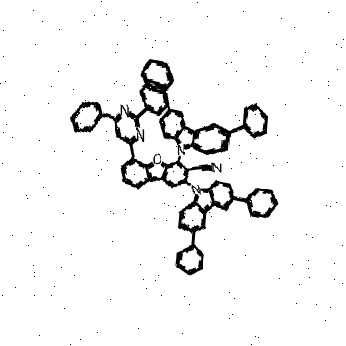 N#Cc1c(-n2c3ccc(-c4ccccc4)cc3c3cc(-c4ccccc4)ccc32)cc2c(oc3c(-c4cc(-c5ccccc5)nc(-c5ccccc5)n4)cccc32)c1-n1c2ccc(-c3ccccc3)cc2c2cc(-c3ccccc3)ccc21